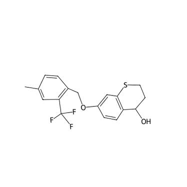 Cc1ccc(COc2ccc3c(c2)SCCC3O)c(C(F)(F)F)c1